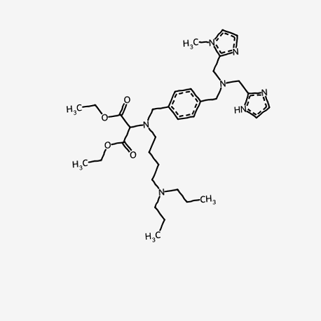 CCCN(CCC)CCCCN(Cc1ccc(CN(Cc2ncc[nH]2)Cc2nccn2C)cc1)C(C(=O)OCC)C(=O)OCC